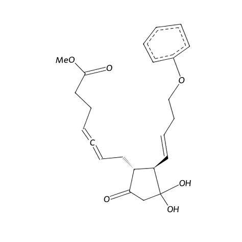 COC(=O)CCC=C=CC[C@H]1C(=O)CC(O)(O)[C@@H]1/C=C/CCOc1ccccc1